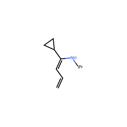 C=C/C=C(\NC(C)C)C1CC1